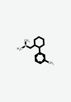 Cc1cccc(C2CCCCC2CN(C)C)c1